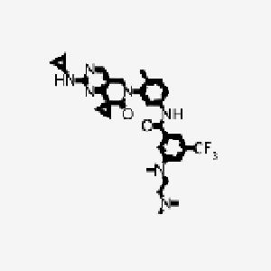 Cc1ccc(NC(=O)c2cc(N(C)CCN(C)C)cc(C(F)(F)F)c2)cc1N1Cc2cnc(NC3CC3)nc2C2(CC2)C1=O